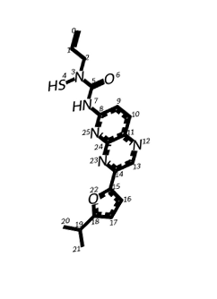 C=CCN(S)C(=O)Nc1ccc2ncc(-c3ccc(C(C)C)o3)nc2n1